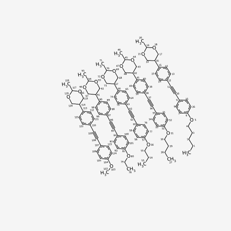 CCCCCOc1ccc(C#Cc2ccc(C3COC(C)OC3)cc2)cc1.CCCCOc1ccc(C#Cc2ccc(C3COC(C)OC3)cc2)cc1.CCCOc1ccc(C#Cc2ccc(C3COC(C)OC3)cc2)cc1.CCOc1ccc(C#Cc2ccc(C3COC(C)OC3)cc2)cc1.COc1ccc(C#Cc2ccc(C3COC(C)OC3)cc2)cc1